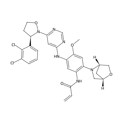 C=CC(=O)Nc1cc(Nc2cc(N3OCC[C@@H]3c3cccc(Cl)c3Cl)ncn2)c(OC)cc1N1C[C@@H]2C[C@H]1CO2